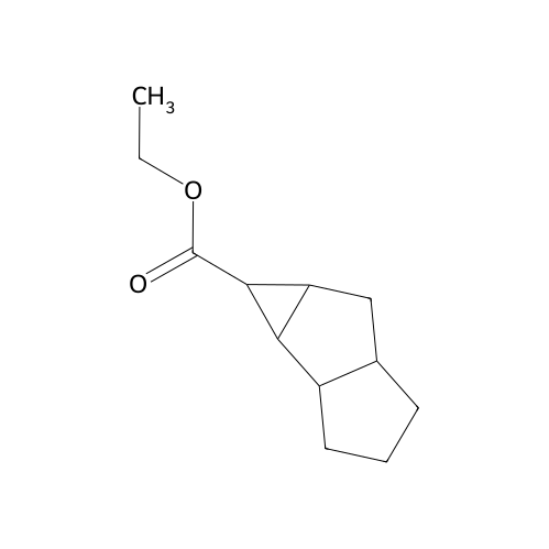 CCOC(=O)C1C2CC3CCCC3C21